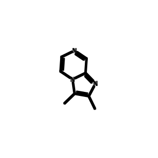 Cc1nc2cnccn2c1C